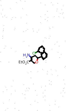 CCOC(=O)C1=C(N)CC(c2cccc3cccc(Cl)c23)OC1